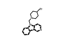 CC(C)C1CCN(Cn2c3ccccc3c3cnccc32)CC1